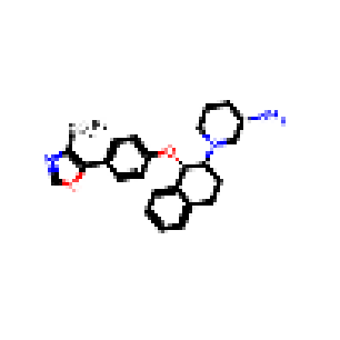 CCOC(=O)c1ncoc1-c1ccc(O[C@H]2c3ccccc3CC[C@@H]2N2CCC[C@@H](N)C2)cc1